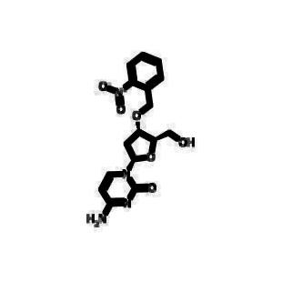 Nc1ccn([C@H]2C[C@H](OCc3ccccc3[N+](=O)[O-])[C@@H](CO)O2)c(=O)n1